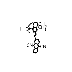 [C-]#[N+]c1c2ccccc2c(C#N)c2ccc(C=Cc3cc4c5c(c3)C(C)(C)CCN5CCC4(C)C)cc12